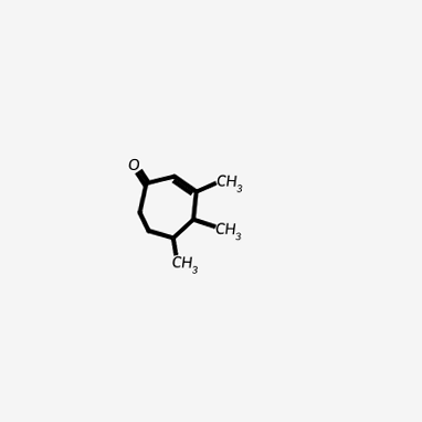 CC1=CC(=O)CCC(C)C1C